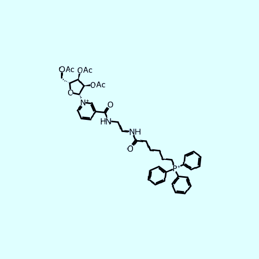 CC(=O)OC[C@H]1O[C@@H]([n+]2cccc(C(=O)NCCNC(=O)CCCCC[P+](c3ccccc3)(c3ccccc3)c3ccccc3)c2)[C@H](OC(C)=O)[C@@H]1OC(C)=O